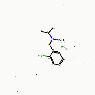 CC(C)N([SiH3])Cc1ccccc1F.Cl